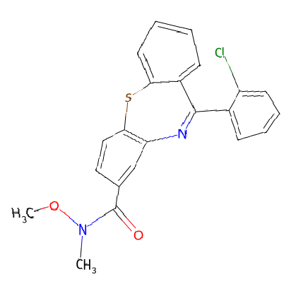 CON(C)C(=O)c1ccc2c(c1)N=C(c1ccccc1Cl)c1ccccc1S2